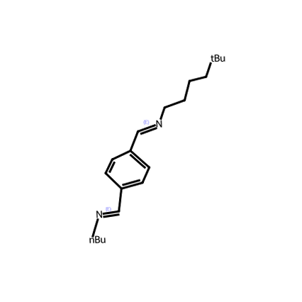 CCCC/N=C/c1ccc(/C=N/CCCCC(C)(C)C)cc1